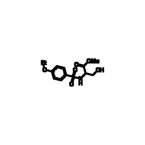 CCOc1ccc(S(=O)(=O)NC(CO)C(=O)OC)cc1